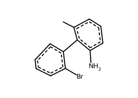 Cc1cccc(N)c1-c1ccccc1Br